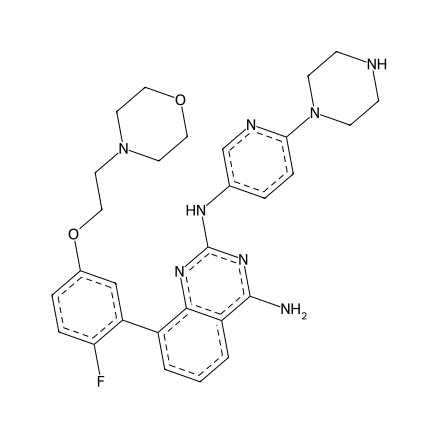 Nc1nc(Nc2ccc(N3CCNCC3)nc2)nc2c(-c3cc(OCCN4CCOCC4)ccc3F)cccc12